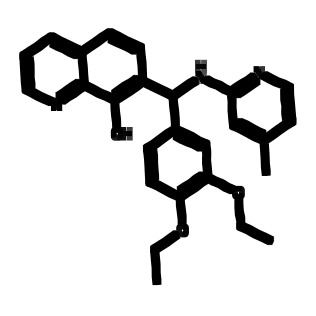 CCOc1ccc(C(Nc2cc(C)ccn2)c2ccc3cccnc3c2O)cc1OCC